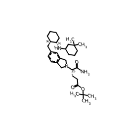 CC1(C)CCCC(N[C@H]2CCCC[C@@H]2Cc2ccc3c(c2)CN([C@@H](CCC(=O)OC(C)(C)C)C(N)=O)C3)C1